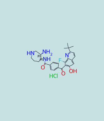 CC(C)(C)c1ccc2cc(O)c(C(=O)c3ccc(C(=O)N[C@@H]4CCCNC[C@H]4N)cc3)c(F)c2n1.Cl